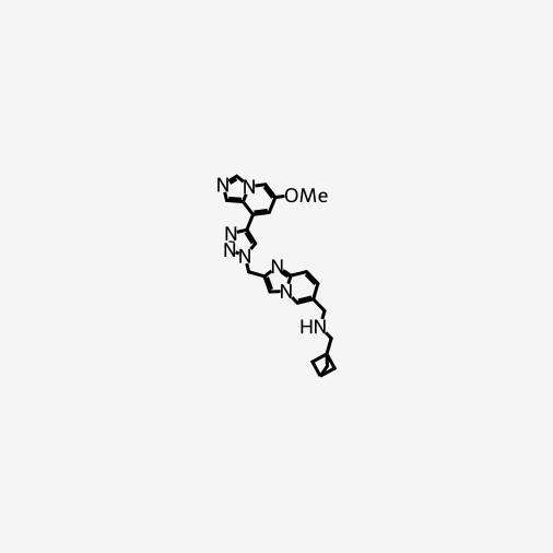 COc1cc(-c2cn(Cc3cn4cc(CNCC56CC(C5)C6)ccc4n3)nn2)c2cncn2c1